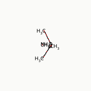 CCCCCCCCCCCCCCCCC=COCC(C)OC=CCCCCCCCCCCCCCCCC.CN